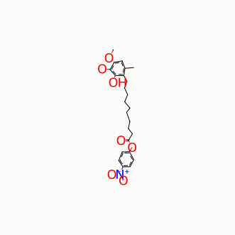 COc1cc(C)c(CCCCCCCCCC(=O)Oc2ccc([N+](=O)[O-])cc2)c(O)c1OC